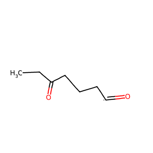 CCC(=O)CCC[C]=O